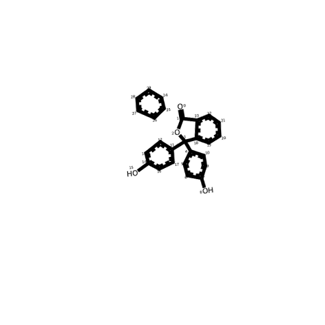 O=C1OC(c2ccc(O)cc2)(c2ccc(O)cc2)c2ccccc21.c1ccccc1